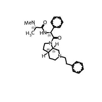 CN[C@@H](C)C(=O)N[C@H](C(=O)N1CC[C@H]2CCN(CCc3ccccc3)C[C@H]21)c1ccccc1